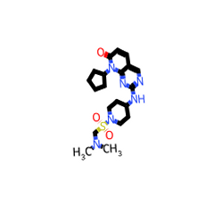 CN(C)CS(=O)(=O)N1CCC(Nc2ncc3ccc(=O)n(C4CCCC4)c3n2)CC1